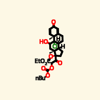 CCCCOC(=O)OCC(=O)[C@@]1(OC(=O)OCC)CC[C@H]2[C@@H]3CCC4=CC(=O)C=C[C@]4(C)[C@@]3(Cl)C(O)C[C@@]21C